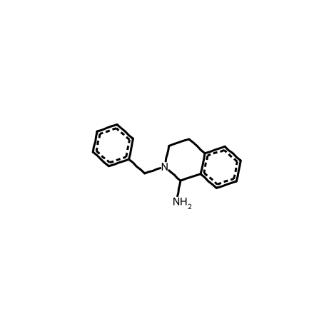 NC1c2ccccc2CCN1Cc1ccccc1